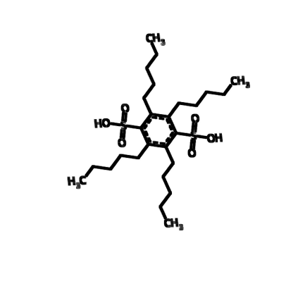 CCCCCc1c(CCCCC)c(S(=O)(=O)O)c(CCCCC)c(CCCCC)c1S(=O)(=O)O